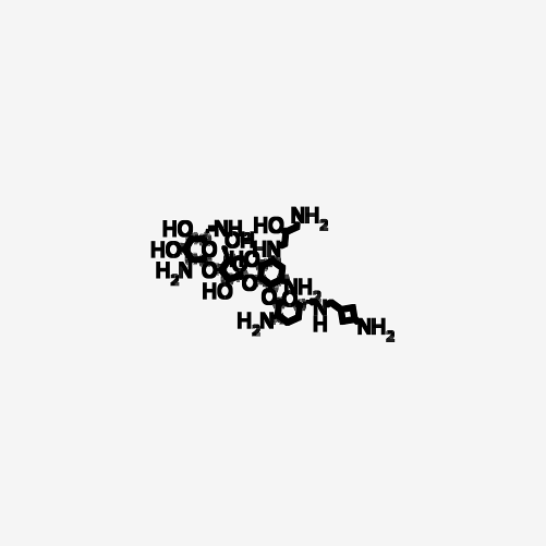 NCC(O)CN[C@@H]1C[C@H](N)[C@@H](O[C@H]2O[C@H](CNCC3CC(N)C3)CC[C@H]2N)[C@H](O[C@@H]2O[C@H](CO)[C@@H](O[C@H]3O[C@@H](CN)[C@@H](O)[C@H](O)[C@H]3N)[C@H]2O)[C@H]1O